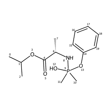 CC(C)OC(=O)[C@H](C)NP(C)(C)(O)Oc1ccccc1